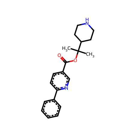 CC(C)(OC(=O)c1ccc(-c2ccccc2)nc1)C1CCNCC1